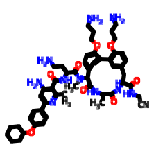 Cc1nc(-c2ccc(OC3CCCCC3)cc2)cc(N)c1C(=O)NC(CCN)C(=O)N(C)C1C(=O)NC(C)C(=O)NC(C(=O)NCC#N)Cc2ccc(OCCCN)c(c2)-c2cc1ccc2OCCCN